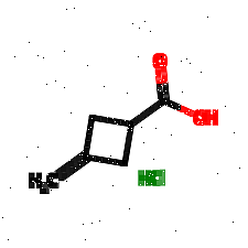 C=C1CC(C(=O)O)C1.Cl